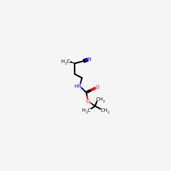 C[C@@H](C#N)CCNC(=O)OC(C)(C)C